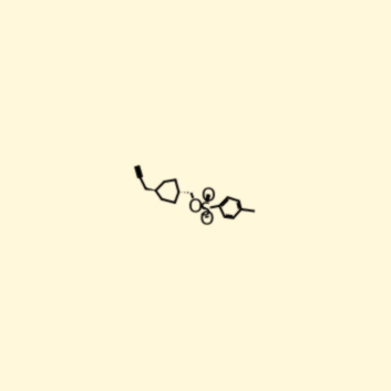 C#CC[C@H]1CC[C@H](COS(=O)(=O)c2ccc(C)cc2)CC1